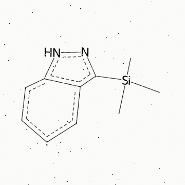 C[Si](C)(C)c1n[nH]c2cc[c]cc12